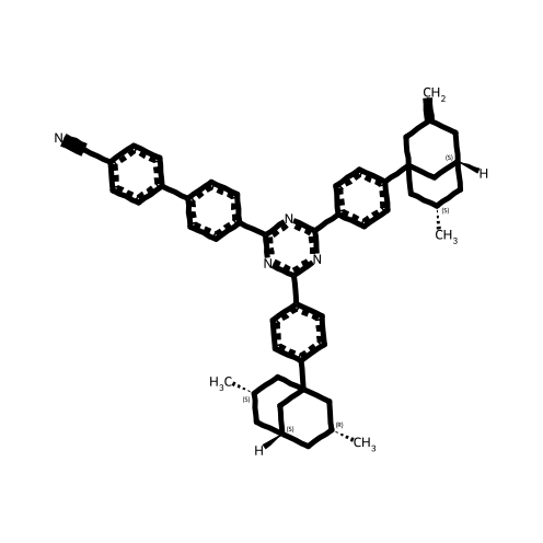 C=C1C[C@@H]2C[C@H](C)CC(c3ccc(-c4nc(-c5ccc(-c6ccc(C#N)cc6)cc5)nc(-c5ccc(C67C[C@H](C)C[C@H](C[C@H](C)C6)C7)cc5)n4)cc3)(C1)C2